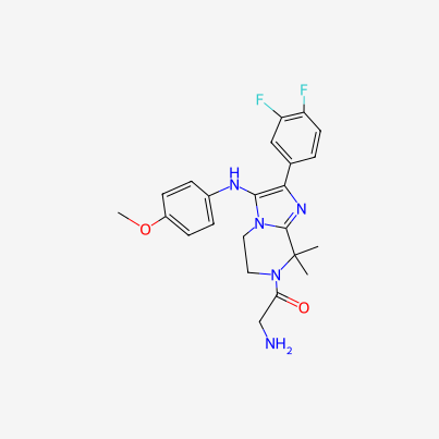 COc1ccc(Nc2c(-c3ccc(F)c(F)c3)nc3n2CCN(C(=O)CN)C3(C)C)cc1